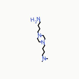 CN(C)CCCCN1CCN(CCCCN)CC1